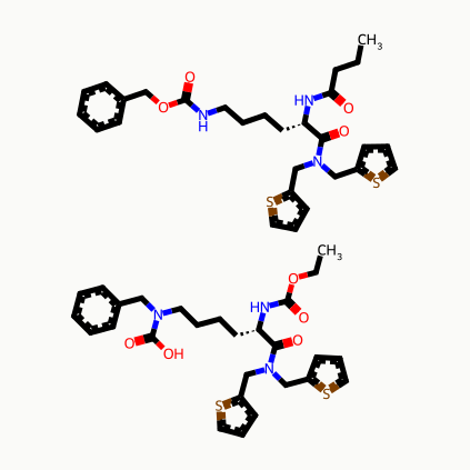 CCCC(=O)N[C@@H](CCCCNC(=O)OCc1ccccc1)C(=O)N(Cc1cccs1)Cc1cccs1.CCOC(=O)N[C@@H](CCCCN(Cc1ccccc1)C(=O)O)C(=O)N(Cc1cccs1)Cc1cccs1